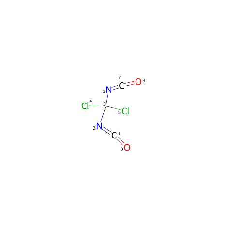 O=C=NC(Cl)(Cl)N=C=O